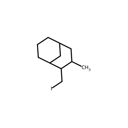 CC1CC2CCCC(C2)C1CI